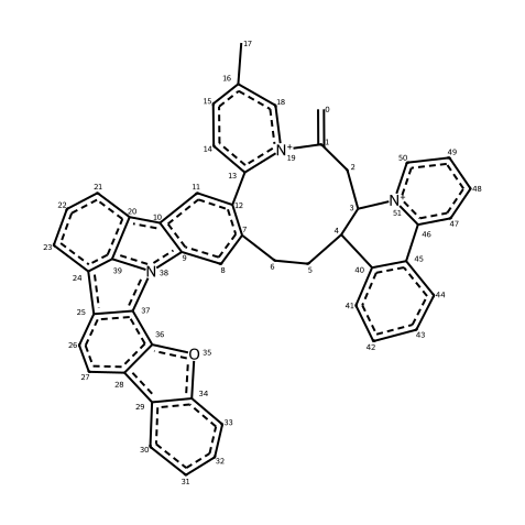 C=C1CC2C(CCc3cc4c(cc3-c3ccc(C)c[n+]31)c1cccc3c5ccc6c7ccccc7oc6c5n4c13)c1ccccc1-c1cccc[n+]12